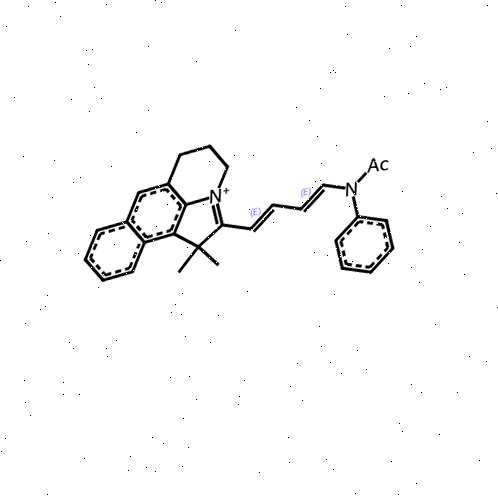 CC(=O)N(/C=C/C=C/C1=[N+]2CCCc3cc4ccccc4c(c32)C1(C)C)c1ccccc1